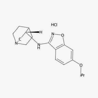 CC(C)Oc1ccc2c(N[C@@H]3CN4CCC3CC4)noc2c1.Cl